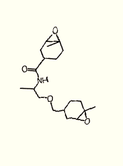 CC(COCC1CCC2(C)OC2C1)NC(=O)C1CCC2(C)OC2C1